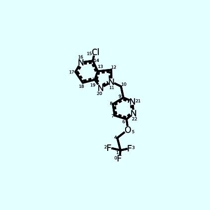 FC(F)(F)COc1ccc(Cn2cc3c(Cl)nccc3n2)nn1